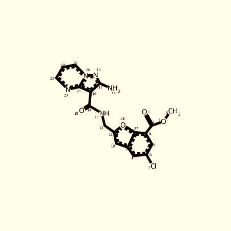 COC(=O)c1cc(Cl)cc2cc(CNC(=O)c3c(N)nn4cccnc34)oc12